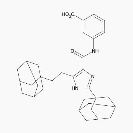 O=C(O)c1cccc(NC(=O)c2nc(C34CC5CC(CC(C5)C3)C4)[nH]c2CCC23CC4CC(CC(C4)C2)C3)c1